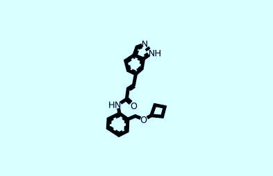 O=C(C=Cc1ccc2cn[nH]c2c1)Nc1ccccc1COC1CCC1